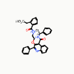 CC[C@H](NC(=O)c1c(OCCNC(=O)c2ccccc2CC(=O)O)c(-c2ccccc2)nc2ccccc12)c1ccccc1